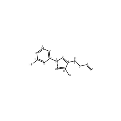 C=CCNc1cn(-c2cncc(F)c2)nc1C